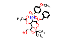 COc1ccc(S(=O)(=O)N[C@@H](C(=O)OCc2ccccc2)[C@H](OC(C)=O)[C@@H]2OC(C)(C)O[C@H]2CO)cc1